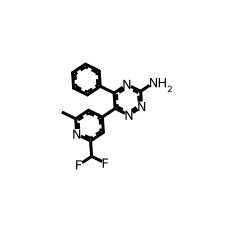 Cc1cc(-c2nnc(N)nc2-c2ccccc2)cc(C(F)F)n1